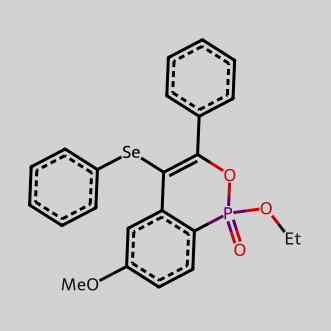 CCOP1(=O)OC(c2ccccc2)=C([Se]c2ccccc2)c2cc(OC)ccc21